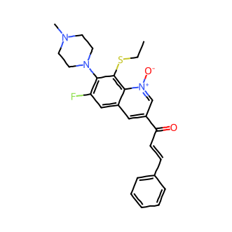 CCSc1c(N2CCN(C)CC2)c(F)cc2cc(C(=O)C=Cc3ccccc3)c[n+]([O-])c12